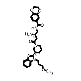 COCCCn1c([C@@H]2CCCN(C(=O)C[C@H](N)CNC(=O)c3ccc4c(c3)OCCO4)C2)nc2ccccc21